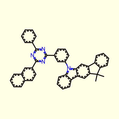 CC1(C)c2ccccc2-c2cc3c(cc21)c1ccccc1n3-c1cccc(-c2nc(-c3ccccc3)nc(-c3ccc4ccccc4c3)n2)c1